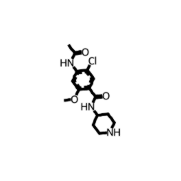 COc1cc(NC(C)=O)c(Cl)cc1C(=O)NC1CCNCC1